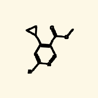 COC(=O)c1cnc(Br)cc1C1CC1